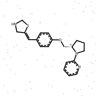 C(=C1CNCS1)c1ccc(OC[C@@H]2CCCN2c2ccccn2)cc1